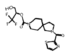 O=C(OC(CO)C(F)(F)F)N1CCC2(CC1)CCN(C(=O)c1nccs1)C2